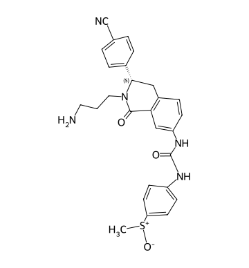 C[S+]([O-])c1ccc(NC(=O)Nc2ccc3c(c2)C(=O)N(CCCN)[C@H](c2ccc(C#N)cc2)C3)cc1